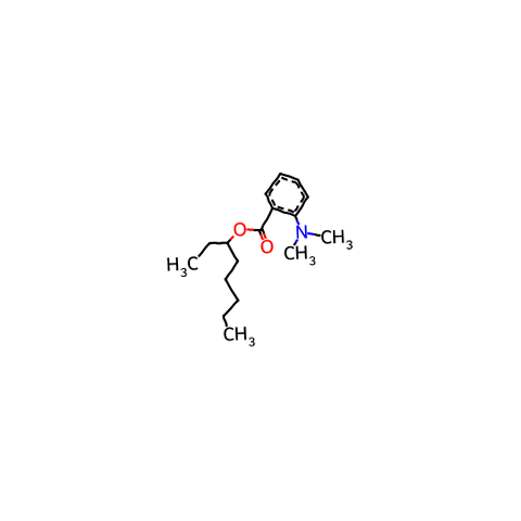 CCCCCC(CC)OC(=O)c1ccccc1N(C)C